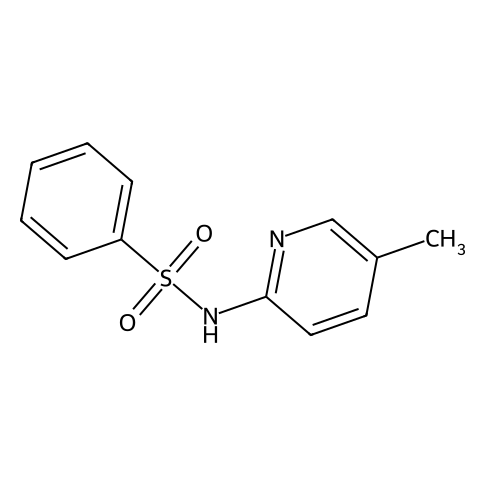 Cc1ccc(NS(=O)(=O)c2ccccc2)nc1